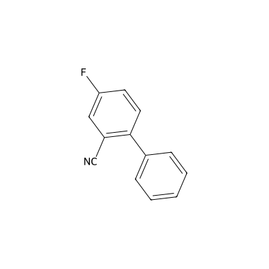 N#Cc1cc(F)ccc1-c1ccccc1